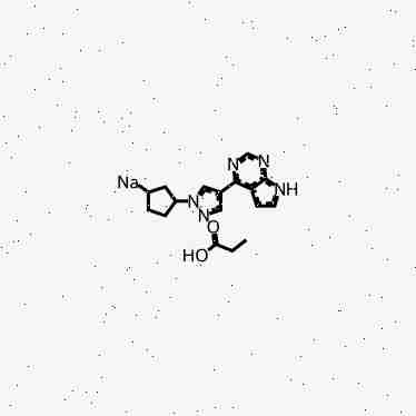 CCC(=O)O.[Na][CH]1CCC(n2cc(-c3ncnc4[nH]ccc34)cn2)C1